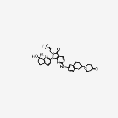 C=CCn1c(=O)c2cnc(Nc3ccc4c(c3)CCC(N3CCC(=O)CC3)C4)nc2n1-c1ccc2c(n1)[C@@](O)(CC)CC2